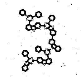 c1ccc(-c2cc(-c3ccccc3)nc(-c3cccc4sc5cc(-c6nc(-c7ccccc7)c7sc8ccc(-c9ccc%10c(c9)c9ccccc9n%10-c9nc(-c%10ccccc%10)nc(-c%10cccc%11sc%12cc(-c%13nc(-c%14ccccc%14)c%14sc%15ccccc%15c%14n%13)ccc%12c%10%11)n9)cc8c7n6)ccc5c34)n2)cc1